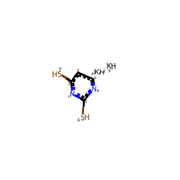 Sc1ccnc(S)n1.[KH].[KH]